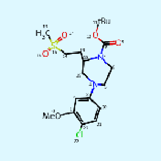 COc1cc(N2CCN(C(=O)OC(C)(C)C)C(CCS(C)(=O)=O)C2)ccc1Cl